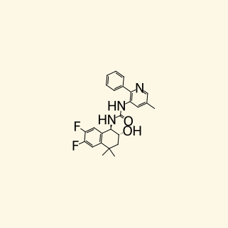 Cc1cnc(-c2ccccc2)c(NC(=O)N[C@@H]2c3cc(F)c(F)cc3C(C)(C)C[C@H]2O)c1